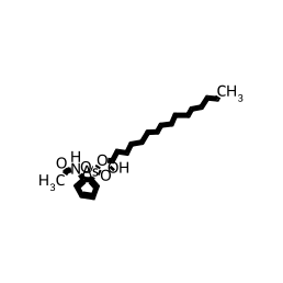 CCCCCCCCCCCCCCCCO[As](=O)(OO)c1ccccc1NC(C)=O